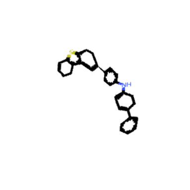 C1=Cc2sc3c(c2CC1)=C[C@H](c1ccc(NC2=CC=C(c4ccccc4)CC2)cc1)CC=3